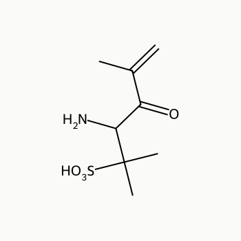 C=C(C)C(=O)C(N)C(C)(C)S(=O)(=O)O